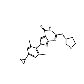 Cc1cc(C2CC2)cc(C)c1-n1cc2c(=O)[nH]c(O[C@H]3CCOC3)nc2n1